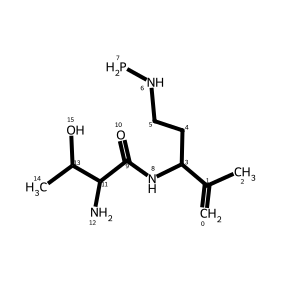 C=C(C)C(CCNP)NC(=O)C(N)C(C)O